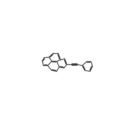 C(#Cc1cc2ccc3cccc4ccc(c1)c2c34)c1ccccc1